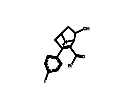 CCC(=O)C1=C(c2ccc(I)cc2)CC2CC(O)C1N2C